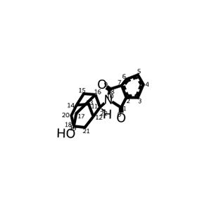 O=C1c2ccccc2C(=O)N1[C@H]1C2CC3CC1C[C@](O)(C3)C2